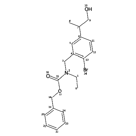 CCN(Cc1cc(C(C)CO)ccc1Br)C(=O)OCc1ccccc1